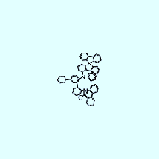 O=c1c2ccccc2c2cccc3c2n1-c1ccccc1-c1cc(-c2ccccc2)ccc1N(c1cccc2c1-c1ccccc1C21c2ccccc2-c2ccccc21)c1ccccc1-3